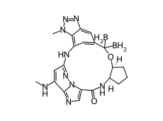 BC1(B)O[C@H]2CCC[C@H]2NC(=O)c2cnc3c(NC)cc(nn23)Nc2cc1cc1nnn(C)c21